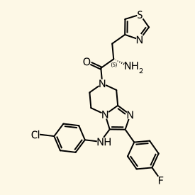 N[C@@H](Cc1cscn1)C(=O)N1CCn2c(nc(-c3ccc(F)cc3)c2Nc2ccc(Cl)cc2)C1